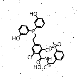 CS(=O)(=O)c1cccc(C[C@H](NC(=O)c2c(Cl)cc(CCP(c3cccc(O)c3)c3cccc(O)c3)cc2Cl)C(=O)O)c1